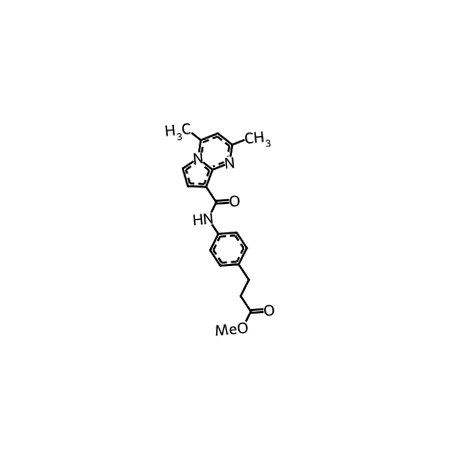 COC(=O)CCc1ccc(NC(=O)c2ccn3c(C)cc(C)nc23)cc1